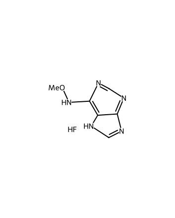 CONc1ncnc2nc[nH]c12.F